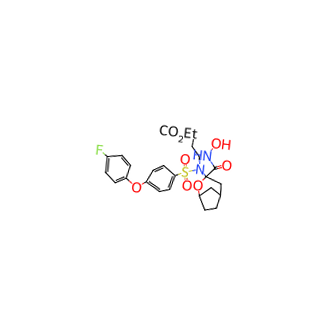 CCOC(=O)CCN(C1(C(=O)NO)CC2CCC(C2)O1)S(=O)(=O)c1ccc(Oc2ccc(F)cc2)cc1